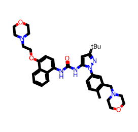 Cc1ccc(-n2nc(C(C)(C)C)cc2NC(=O)Nc2ccc(OCCN3CCOCC3)c3ccccc23)cc1CN1CCOCC1